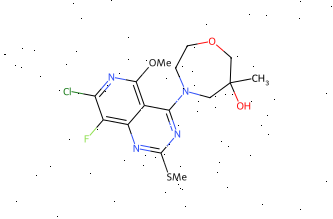 COc1nc(Cl)c(F)c2nc(SC)nc(N3CCOCC(C)(O)C3)c12